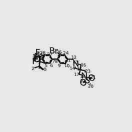 C=C(C)C1(F)c2cc(-c3ccc(CN4CC5(C4)CN(S(C)(=O)=O)C5)cc3Br)cc(c2OC)C1(F)F